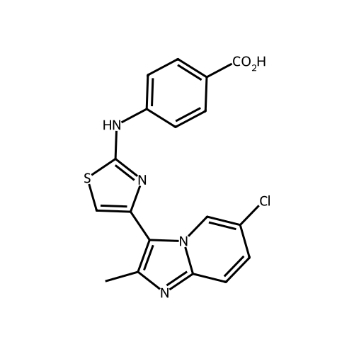 Cc1nc2ccc(Cl)cn2c1-c1csc(Nc2ccc(C(=O)O)cc2)n1